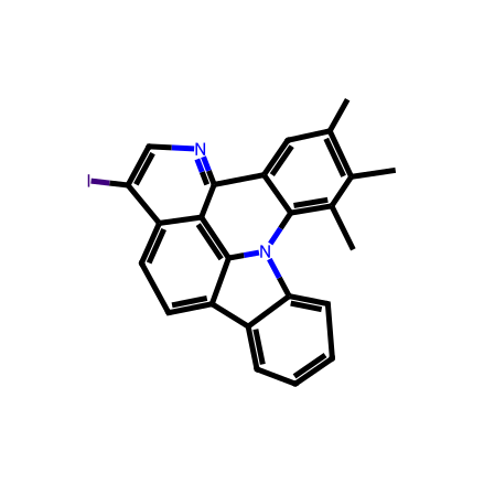 Cc1cc2c3ncc(I)c4ccc5c6ccccc6n(c2c(C)c1C)c5c43